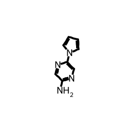 Nc1cnc(-n2cccc2)cn1